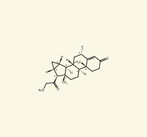 CC(=O)OCC(=O)[C@H]1[C@@H]2C[C@@H]2[C@H]2[C@@H]3C[C@H](F)C4=CC(=O)CC[C@]4(C)[C@H]3CC[C@@]21C